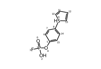 O=P(O)(F)Oc1ccc([SH]2C=CC=C2)cc1